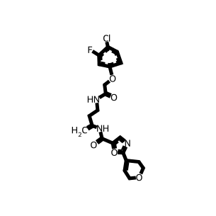 C=C(CCNC(=O)COc1ccc(Cl)c(F)c1)NC(=O)c1cnc(C2=CCOCC2)o1